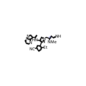 C=C(Nc1cn(C/C(=C/C=N)NC)nc1-c1cc(C#N)ccc1CC)c1cnn2cccnc12